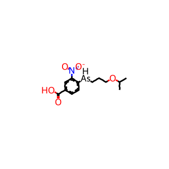 CC(C)OCCC[AsH]c1ccc(C(=O)O)cc1[N+](=O)[O-]